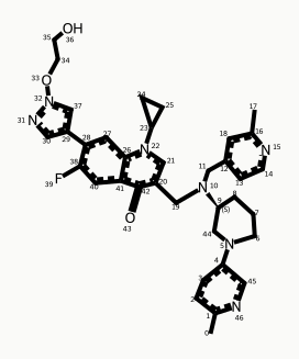 Cc1ccc(N2CCC[C@H](N(Cc3ccnc(C)c3)Cc3cn(C4CC4)c4cc(-c5cnn(OCCO)c5)c(F)cc4c3=O)C2)cn1